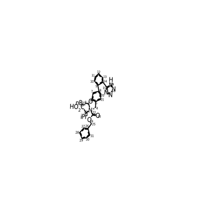 CCCCC(=O)[N+](Cc1ccc(-c2ccccc2-c2nnn[nH]2)cc1)(C(=O)OCc1ccccc1)[C@H](C(=O)O)C(C)C